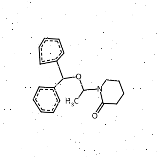 CC(OC(c1ccccc1)c1ccccc1)N1CCCCC1=O